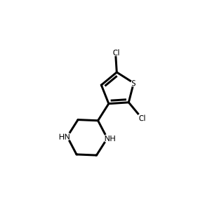 Clc1cc(C2CNCCN2)c(Cl)s1